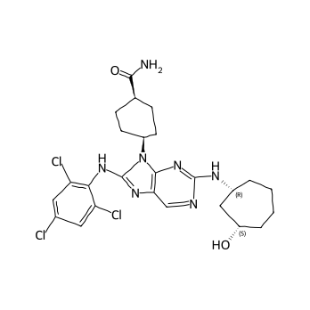 NC(=O)[C@H]1CC[C@@H](n2c(Nc3c(Cl)cc(Cl)cc3Cl)nc3cnc(N[C@@H]4CCCC[C@H](O)C4)nc32)CC1